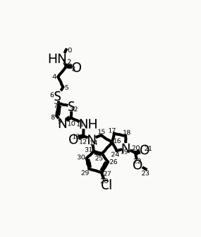 CNC(=O)CCSc1cnc(NC(=O)N2CC3(CCN(C(=O)OC)C3)c3cc(Cl)ccc32)s1